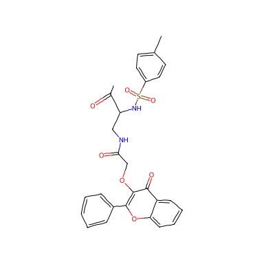 CC(=O)C(CNC(=O)COc1c(-c2ccccc2)oc2ccccc2c1=O)NS(=O)(=O)c1ccc(C)cc1